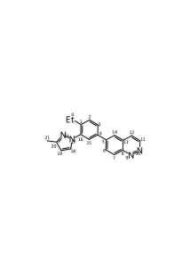 CCc1ccc(-c2ccc3nnccc3c2)cc1-n1ccc(C)n1